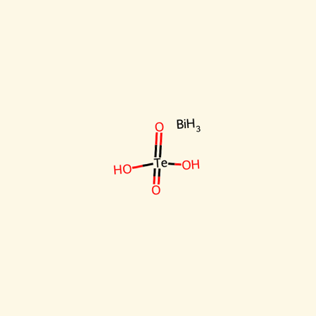 O=[Te](=O)(O)O.[BiH3]